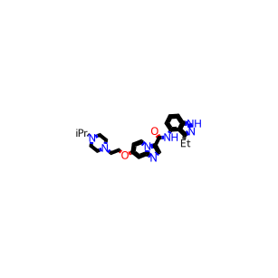 CCc1n[nH]c2cccc(NC(=O)c3cnc4cc(OCCN5CCN(C(C)C)CC5)ccn34)c12